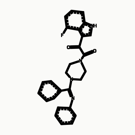 O=C(C(=O)N1CCN(C(=Nc2ccccc2)c2ccccc2)CC1)c1c[nH]c2cccc(F)c12